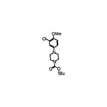 COc1ccc(N2CCN(C(=O)OC(C)(C)C)CC2)cc1Cl